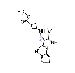 COC(=O)C1CC(N/C=C(\C(=N)C2CC2)c2cnc3ccccc3n2)C1